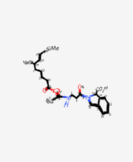 CCC(C)C(NCCC(=O)N1Cc2ccccc2C1C(=O)O)OC(=O)CCCCC(CCSC)SC